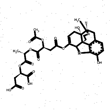 CC(=O)O[C@@H](CC(=O)OC1=CC[C@@]2(O)[C@H]3Cc4ccc(O)c5c4[C@@]2(CCN3C)[C@H]1O5)C(=O)O[C@@H](C)C(=O)O[C@H](CC(=O)O)C(=O)O